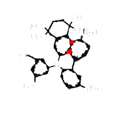 Cc1cc(Cl)cc(N(c2ccc3c(c2)C(C)(C)CCC3(C)C)c2ccc(C(C)(C)C)cc2-c2ccc(C(C)(C)C)cc2)c1